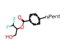 CCCCCc1ccc(C(=O)OC(CO)C(F)F)cc1